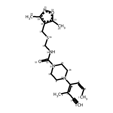 C#C/C(C)=C(\C=C/C)N1CCN(C(=O)NCSCc2c(C)noc2C)CC1